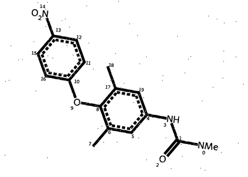 CNC(=O)Nc1cc(C)c(Oc2ccc([N+](=O)[O-])cc2)c(C)c1